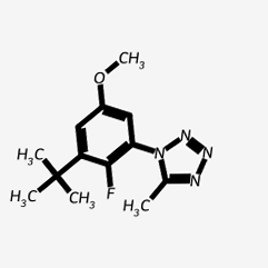 COc1cc(-n2nnnc2C)c(F)c(C(C)(C)C)c1